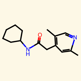 Cc1cc(CC(=O)NC2CCCCC2)c(C)cn1